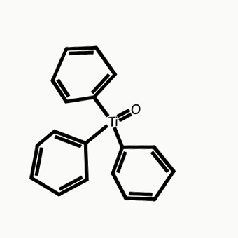 [O]=[Ti]([c]1ccccc1)([c]1ccccc1)[c]1ccccc1